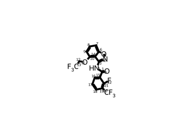 O=C(Nc1noc2cccc(OCC(F)(F)F)c12)c1cccc(C(F)(F)F)c1F